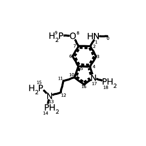 CNc1cc2c(cc1OP)c(CCN(P)P)cn2P